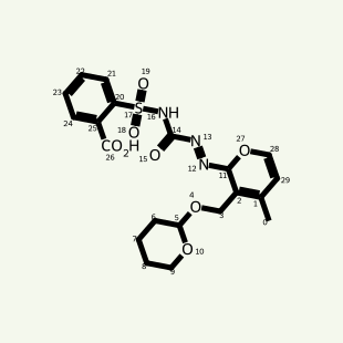 CC1=C(COC2CCCCO2)C(N=NC(=O)NS(=O)(=O)c2ccccc2C(=O)O)OC=C1